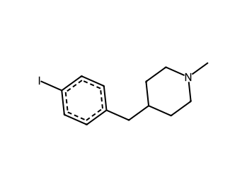 CN1CCC(Cc2ccc(I)cc2)CC1